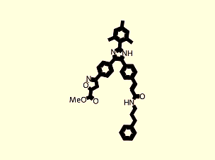 COC(=O)C1CC(c2ccc(-c3nc(-c4c(C)cc(C)cc4C)[nH]c3-c3ccc(C=CC(=O)NCCCc4ccccc4)cc3)cc2)=NO1